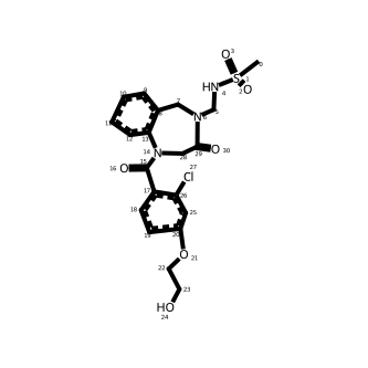 CS(=O)(=O)NCN1Cc2ccccc2N(C(=O)c2ccc(OCCO)cc2Cl)CC1=O